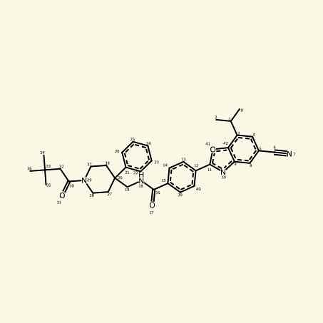 CC(C)c1cc(C#N)cc2nc(-c3ccc(C(=O)NCC4(c5ccccc5)CCN(C(=O)CC(C)(C)C)CC4)cc3)oc12